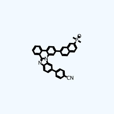 CP(C)(=O)c1ccc2ccc(-c3ccc4c5ccccc5c5nc6ccc(-c7ccc(C#N)cc7)cc6n5c4c3)cc2c1